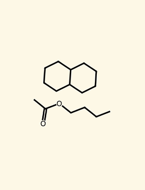 C1CCC2CCCCC2C1.CCCCOC(C)=O